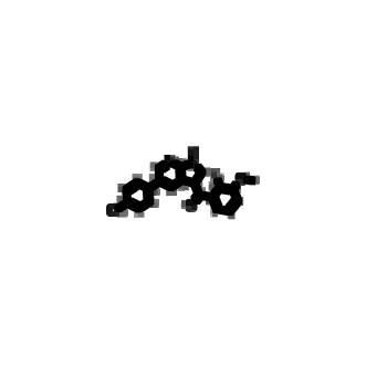 COc1cccc(C(=O)C2CNc3ncc(-c4ccc(Cl)cc4)cc32)c1F